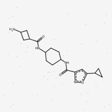 NC1CC(C(=O)NC2CCC(NC(=O)c3cc(C4CC4)on3)CC2)C1